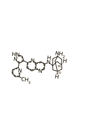 Cc1cccc(-c2n[nH]cc2-c2ccc3ncc(NC45C[C@@H]6C[C@@H](CC(N)(C6)C4)C5)cc3n2)n1